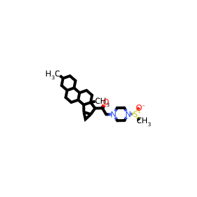 CC1CCC2C(CCC3C2CCC2(C)C(C(=O)CN4CCN([S+](C)[O-])CC4)C4CC4C32)C1